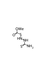 COC(=O)SNNC(N)=S